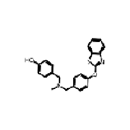 CN(Cc1ccc(O)cc1)Cc1ccc(Oc2nc3ccccc3s2)cc1